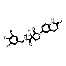 O=C1CCc2cc(N3CCC(O)(C(=O)NCc4cc(F)c(F)c(F)c4)C3=O)ccc2N1